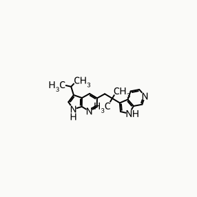 CC(C)c1c[nH]c2ncc(CC(C)(C)c3c[nH]c4cnccc34)cc12